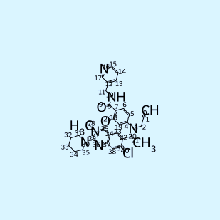 C#CCN(c1ccc(C(=O)NCc2cccnc2)cc1)C(C)c1cc2c(=O)n(C)c(N3CCCCC3)nc2cc1Cl